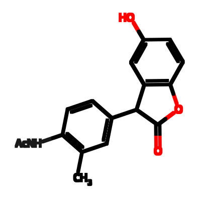 CC(=O)Nc1ccc(C2C(=O)Oc3ccc(O)cc32)cc1C